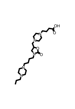 CCCN1CCN(CCCCN2CC(CN3CCN(CCCC(=O)O)CC3)OC2=O)CC1